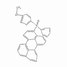 COc1ccc(P(=O)(c2ccccc2)c2ccc3c4cccc5cccc(c6cccc2c63)c54)cc1